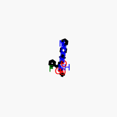 CC(C)(C)OC(=O)NC(CC(=O)N1CC(N2CCN(c3ccccn3)CC2)C1)Cc1ccccc1F